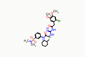 COc1cc(Br)c(CC(=O)NC(=N)N[C@H](CC2CCCCC2)C(=O)Nc2cccc(S(=O)(=O)N(C)C)c2)cc1OC